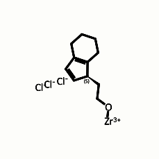 [Cl-].[Cl-].[Cl-].[Zr+3][O]CC[C@H]1C=CC2=C1CCCC2